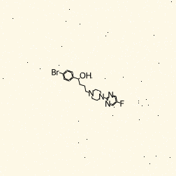 OC(CCCN1CCN(c2ncc(F)cn2)CC1)c1ccc(Br)cc1